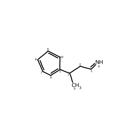 CC(CC=N)c1ccccc1